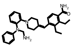 CCc1c(C=C2CCN(c3ccccc3N(CN)c3ccccc3)CC2)ccc(C(N)=O)c1CC